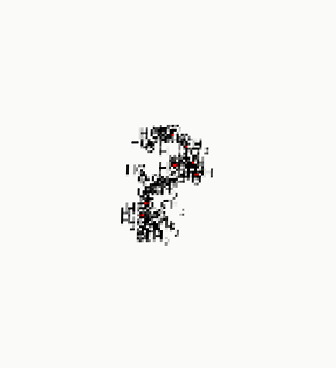 CCCC(=O)OCN(C(=O)[C@@H](NC(=O)[C@H]1CCCCN1C)C(C)CC)[C@H](C[C@@H](O)c1nc(C(=O)N[C@@H](Cc2ccc(O)cc2)C[C@H](C)C(=O)NNC(=O)OCCSSC[C@H](NC(=O)[C@H](Cc2ccccc2)NC(=O)[C@H](CC(=O)O)NC(=O)CC[C@@H](C)NC(=O)CC[C@H](NC(=O)N[C@@H](CCC(=O)O)C(=O)O)C(=O)O)C(=O)O)cs1)C(C)C